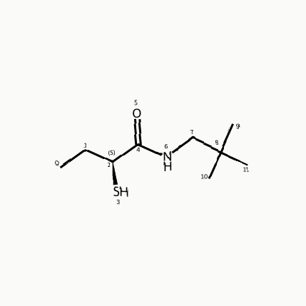 CC[C@H](S)C(=O)NCC(C)(C)C